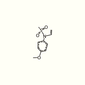 C=CN(c1ccc(OC)cc1)S(C)(=O)=O